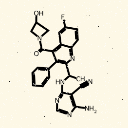 CC(Nc1ncnc(N)c1C#N)c1nc2ccc(F)cc2c(C(=O)N2CC(O)C2)c1-c1ccccc1